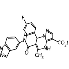 CC1=C(C(=O)Nc2ccc3[nH]ncc3c2)C(c2ccc(F)cc2)n2ncc(C(=O)O)c2N1